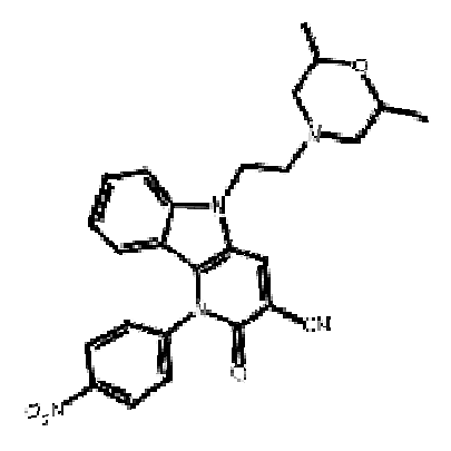 CC1CN(CCn2c3ccccc3c3c2cc(C#N)c(=O)n3-c2ccc([N+](=O)[O-])cc2)CC(C)O1